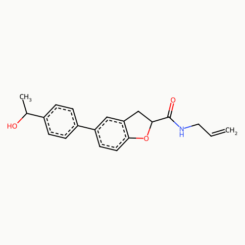 C=CCNC(=O)C1Cc2cc(-c3ccc(C(C)O)cc3)ccc2O1